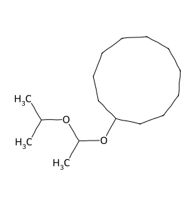 CC(C)OC(C)OC1CCCCCCCCCC1